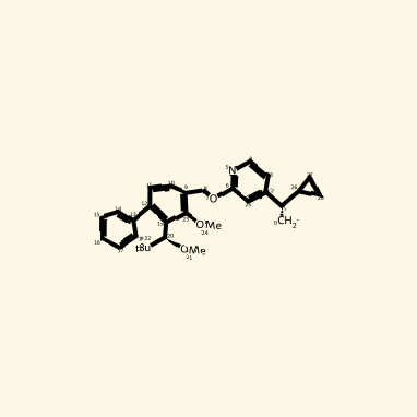 [CH2][C@H](c1ccnc(OCc2ccc(-c3ccccc3)c([C@@H](OC)C(C)(C)C)c2OC)c1)C1CC1